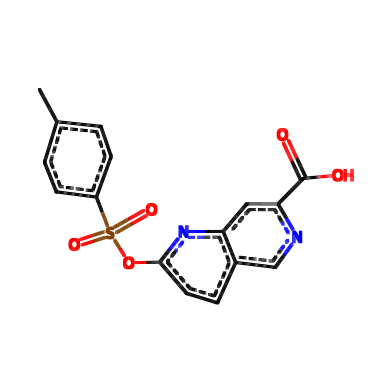 Cc1ccc(S(=O)(=O)Oc2ccc3cnc(C(=O)O)cc3n2)cc1